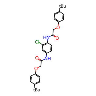 CC(C)(C)c1ccc(OCC(=O)Nc2ccc(NC(=O)COc3ccc(C(C)(C)C)cc3)c(Cl)c2)cc1